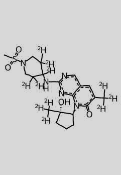 [2H]C([2H])([2H])c1cc2cnc(NC3([2H])C([2H])([2H])CN(S(C)(=O)=O)CC3([2H])[2H])nc2n([C@H]2CCC[C@@]2(O)C([2H])([2H])[2H])c1=O